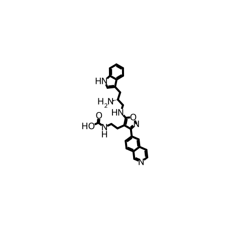 N[C@@H](CNc1onc(-c2ccc3cnccc3c2)c1CCNC(=O)O)Cc1c[nH]c2ccccc12